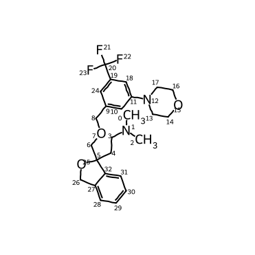 CN(C)CCC1(COCc2cc(N3CCOCC3)cc(C(F)(F)F)c2)OCc2ccccc21